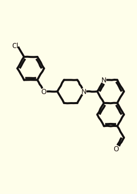 O=Cc1ccc2c(N3CCC(Oc4ccc(Cl)cc4)CC3)nccc2c1